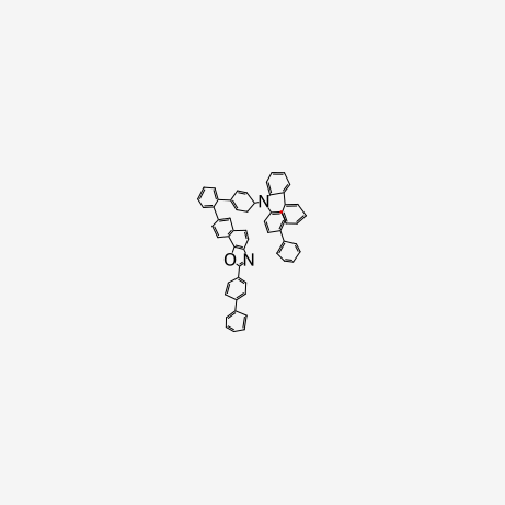 C1=CC(N(c2ccc(-c3ccccc3)cc2)c2ccccc2-c2ccccc2)CC=C1c1ccccc1-c1ccc2c(ccc3nc(-c4ccc(-c5ccccc5)cc4)oc32)c1